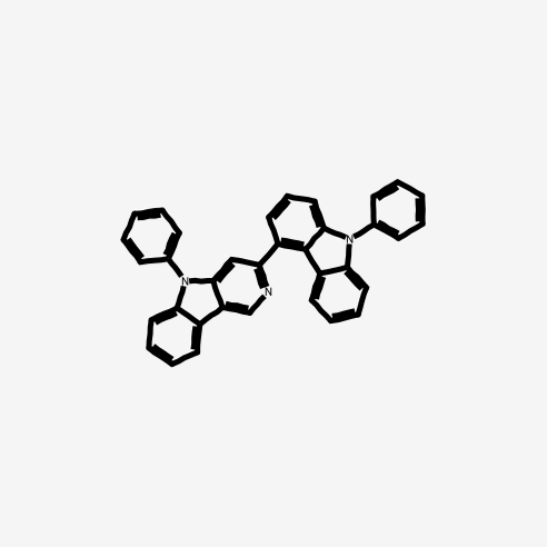 c1ccc(-n2c3ccccc3c3cnc(-c4cccc5c4c4ccccc4n5-c4ccccc4)cc32)cc1